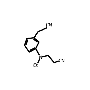 CCN(CCC#N)c1cccc(CCC#N)c1